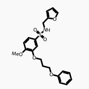 COc1ccc(S(=O)(=O)NCc2ccco2)cc1OCCCOc1ccccc1